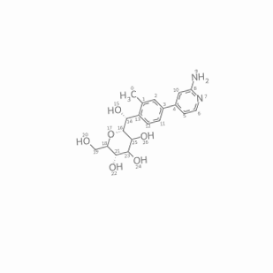 Cc1cc(-c2ccnc(N)c2)ccc1[C@@H](O)[C@H]1OC(CO)[C@@H](O)C(O)C1O